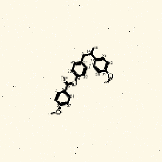 COc1ccc(C(=O)Oc2ccc(CC(C)c3ccc(OC)cc3)cc2)cc1